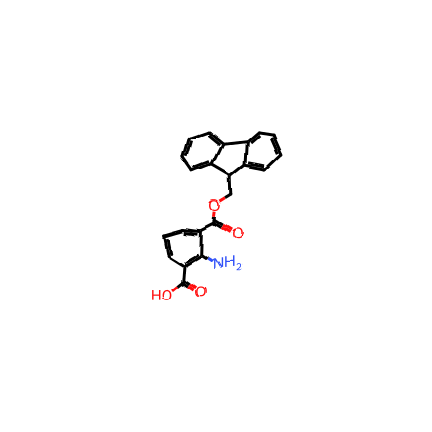 Nc1c(C(=O)O)cccc1C(=O)OCC1c2ccccc2-c2ccccc21